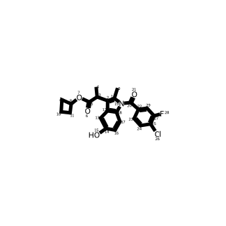 Cc1c(C(C)C(=O)OC2CCC2)c2cc(O)ccc2n1C(=O)c1ccc(Cl)c(F)c1